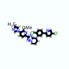 COc1nc(-c2nc3n(n2)CCC[C@@H]3c2cc(-c3ccc(Cl)cn3)ccc2Cl)ccc1-n1cnc(C)c1